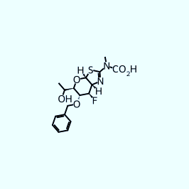 CC(O)[C@H]1O[C@@H]2SC(N(C)C(=O)O)=N[C@@H]2[C@@H](F)[C@@H]1OCc1ccccc1